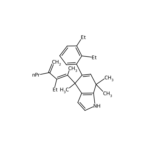 C=C(CCC)/C(CC)=C(\C)C1(C)C(c2cccc(CC)c2CC)=CC(C)(C)c2[nH]ccc21